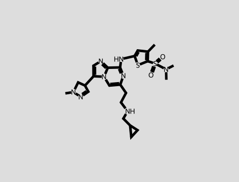 Cc1cc(Nc2nc(CCNCC3CC3)cn3c(C4C=NN(C)C4)cnc23)sc1S(=O)(=O)N(C)C